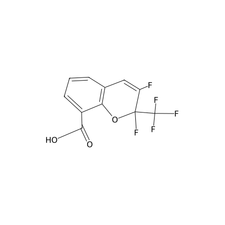 O=C(O)c1cccc2c1OC(F)(C(F)(F)F)C(F)=C2